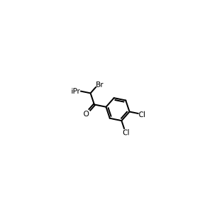 CC(C)C(Br)C(=O)c1ccc(Cl)c(Cl)c1